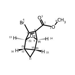 COC(=O)C1=C(Br)[C@H]2O[C@@H]1[C@@H]1C[C@@H]12